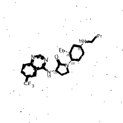 CC[C@@H]1C[C@H](NCC(C)C)CC[C@@H]1N1CC[C@H](Nc2ncnc3ccc(C(F)(F)F)cc23)C1=O